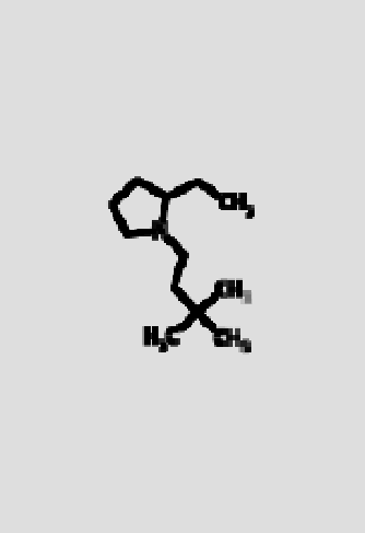 CCC1CCCN1CCC(C)(C)C